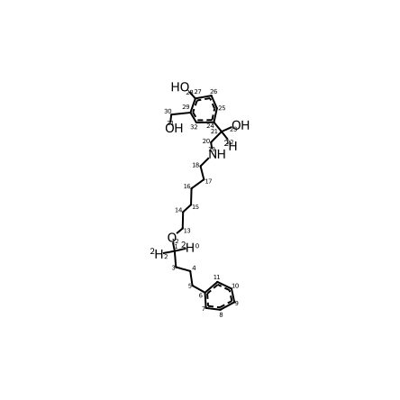 [2H]C([2H])(CCCc1ccccc1)OCCCCCCNCC([2H])(O)c1ccc(O)c(CO)c1